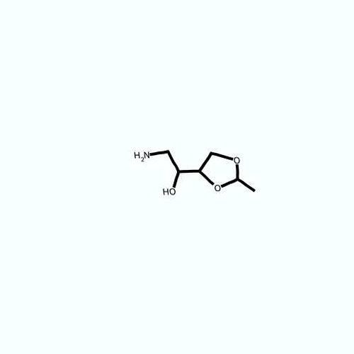 CC1OCC(C(O)CN)O1